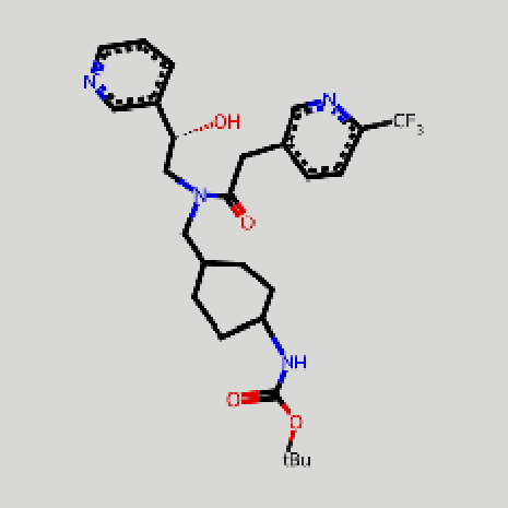 CC(C)(C)OC(=O)NC1CCC(CN(C[C@@H](O)c2cccnc2)C(=O)Cc2ccc(C(F)(F)F)nc2)CC1